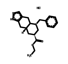 CCOC(=O)[C@@H]1C[C@@H]2Cc3[nH]ncc3CC2N(Cc2ccccc2)C1.Cl